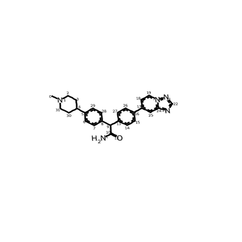 CN1CCC(c2ccc(C(C(N)=O)c3ccc(-c4ccn5ncnc5c4)cc3)cc2)CC1